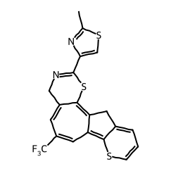 Cc1nc(C2=NCC3=CC(C(F)(F)F)=CC4=C5SC=CC=C5CC4=C3S2)cs1